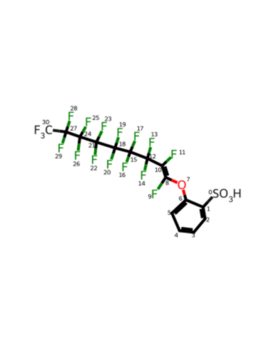 O=S(=O)(O)c1ccccc1OC(F)=C(F)C(F)(F)C(F)(F)C(F)(F)C(F)(F)C(F)(F)C(F)(F)C(F)(F)F